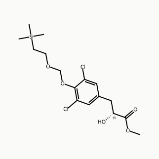 COC(=O)[C@H](O)Cc1cc(Cl)c(OCOCC[Si](C)(C)C)c(Cl)c1